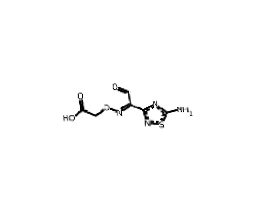 Nc1nc(C([C]=O)=NOCC(=O)O)ns1